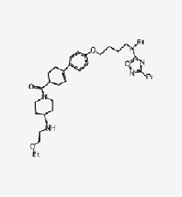 CCOCCNC1CCN(C(=O)C2CC=C(c3ccc(OCCCCN(CC)c4nc(C(C)C)no4)cc3)CC2)CC1